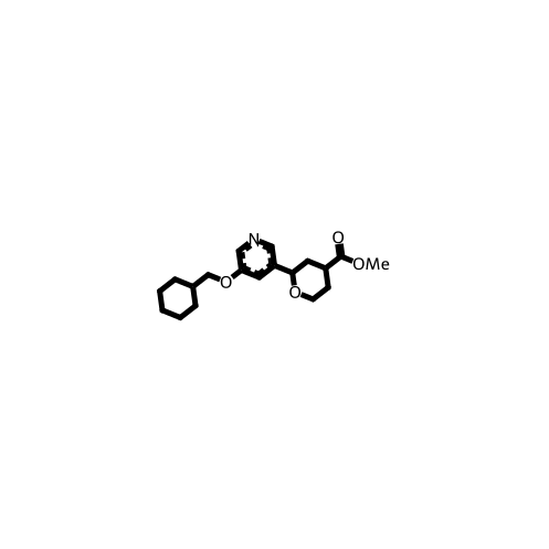 COC(=O)C1CCOC(c2cncc(OCC3CCCCC3)c2)C1